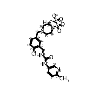 Cc1ccc(NC(=O)NCc2cc(CN3CCN(S(=O)(=O)S(C)(=O)=O)CC3)ccc2Cl)cn1